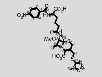 CO[C@@]1(NC(=O)CCCC(NC(=O)c2ccc([N+](=O)[O-])cc2)C(=O)O)C(=O)N2C(C(=O)O)=C(CSc3nnnn3C)CS[C@H]21